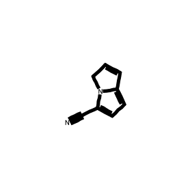 N#Cc1ccc2n1CC=C2